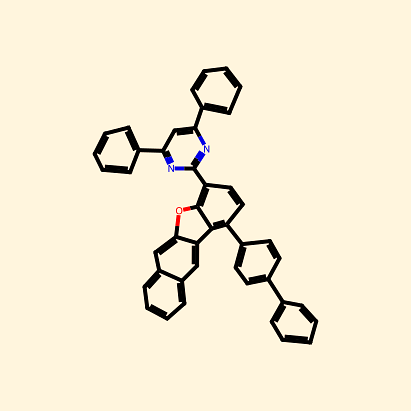 c1ccc(-c2ccc(-c3ccc(-c4nc(-c5ccccc5)cc(-c5ccccc5)n4)c4oc5cc6ccccc6cc5c34)cc2)cc1